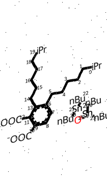 CC(C)CCCCCc1ccc(C(=O)[O-])c(C(=O)[O-])c1CCCCCC(C)C.CCC[CH2][Sn+2][CH2]CCC.CCC[CH2][Sn](=[O])[CH2]CCC